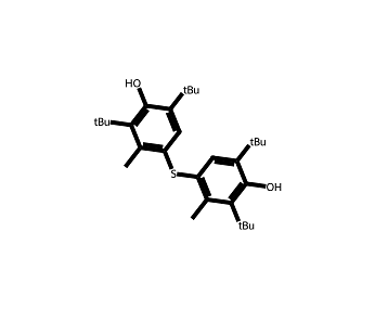 Cc1c(Sc2cc(C(C)(C)C)c(O)c(C(C)(C)C)c2C)cc(C(C)(C)C)c(O)c1C(C)(C)C